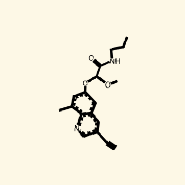 C#Cc1cnc2c(C)cc(OC(OC)C(=O)NCCC)cc2c1